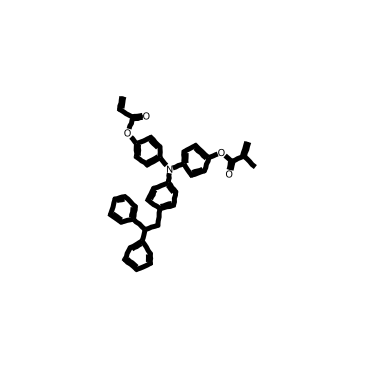 C=CC(=O)Oc1ccc(N(c2ccc(CC(c3ccccc3)c3ccccc3)cc2)c2ccc(OC(=O)C(=C)C)cc2)cc1